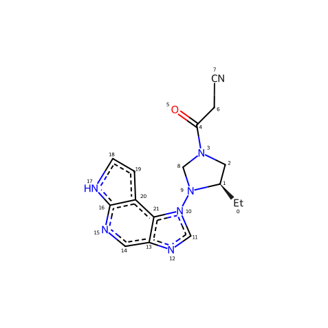 CC[C@@H]1CN(C(=O)CC#N)CN1n1cnc2cnc3[nH]ccc3c21